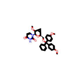 COc1ccc(C(OC[C@H]2O[C@@H](n3ccc(=O)[nH]c3=O)C(OC)C3CC32)(c2ccccc2)c2ccc(OC)cc2)cc1